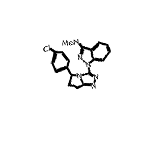 CNc1nn(-c2nnc3n2C(c2ccc(Cl)cc2)CC3)c2ccccc12